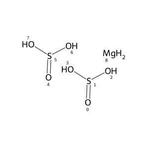 O=S(O)O.O=S(O)O.[MgH2]